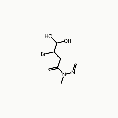 C=NN(C)C(=C)CC(Br)C(O)O